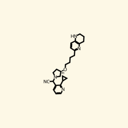 N#CC(c1cccnc1C1CC1)N1CC[C@@H](OCCCCc2ccc3c(n2)CCCN3)C1